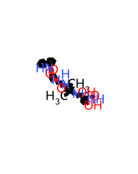 CCc1cc(NC(=O)CCN2CCC(OC(=O)Nc3ccccc3-c3ccccc3)CC2)c(C)cc1CNC[C@H](O)c1ccc(O)c(NC=O)c1